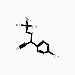 Cc1ccc(C(C#N)CCC(C)(C)C)cc1